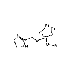 CCO[Si](CCC1=NCCN1)(OCC)OCC